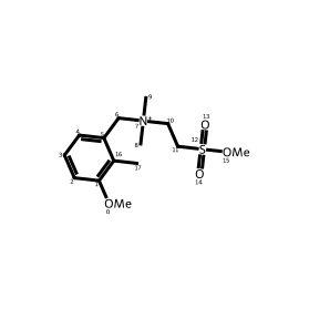 COc1cccc(C[N+](C)(C)CCS(=O)(=O)OC)c1C